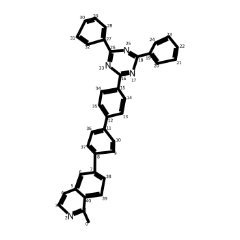 Cc1nccc2cc(-c3ccc(-c4ccc(-c5nc(-c6ccccc6)nc(-c6ccccc6)n5)cc4)cc3)ccc12